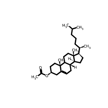 CC(=O)O[C@H]1CC[C@@]2(C)C(=CC[C@@H]3C2CC[C@]2(C)[C@@H]([C@H](C)CCCC(C)C)CC[C@@H]32)C1